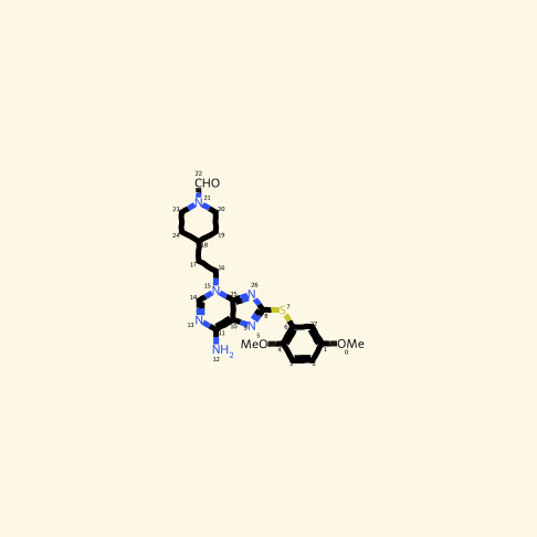 COc1ccc(OC)c(Sc2nc3c(N)ncn(CCC4CCN(C=O)CC4)c-3n2)c1